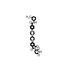 C[C@@H]1CCC[C@H](NC(=O)c2ccc(N3CCN(C4CCN(c5ccc6c(c5)C(=O)N(C5CCC(=O)NC5=O)C6=O)CC4)CC3)cc2)C1